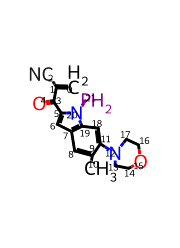 C=C(C#N)C(=O)c1cc2cc(C)c(N3CCOCC3)cc2n1P